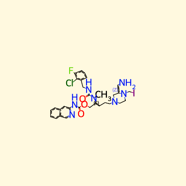 CN(C(=O)NCc1cccc(F)c1Cl)[C@@H](CCCN1CCN(CI)/C(=C\N)C1)COC(=O)Nc1cc2ccccc2cn1